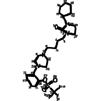 O=C1N(CCCCN2CCN(c3ccccc3OS(=O)(=O)C(F)(F)F)CC2)CCN1C1CCCCC1